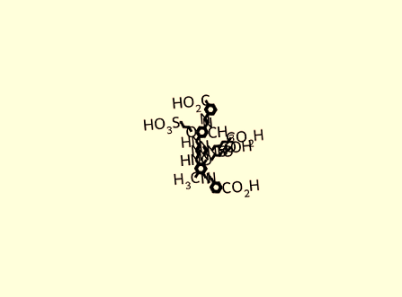 Cc1cc(Nc2nc(NCCCCC(=O)O)nc(Nc3cc(C)c(N=Nc4cccc(C(=O)O)c4)cc3OCCCS(=O)(=O)O)n2)c(OCCCSOOO)cc1N=Nc1cccc(C(=O)O)c1